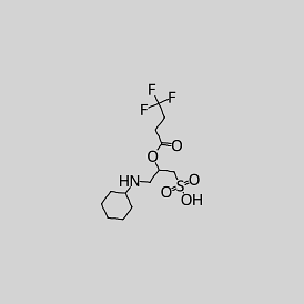 O=C(CCC(F)(F)F)OC(CNC1CCCCC1)CS(=O)(=O)O